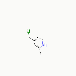 CC1=CC(CCl)=CCN1